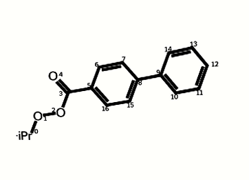 C[C](C)OOC(=O)c1ccc(-c2ccccc2)cc1